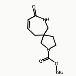 CC(C)(C)OC(=O)N1CCC2(CC=CC(=O)NC2)C1